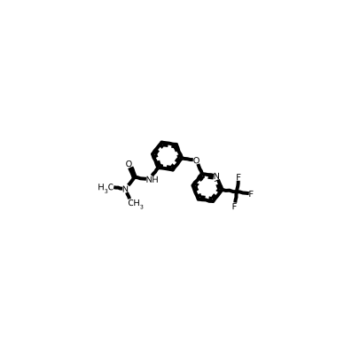 CN(C)C(=O)Nc1cccc(Oc2cccc(C(F)(F)F)n2)c1